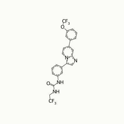 O=C(NCC(F)(F)F)Nc1cccc(-c2cnc3cc(-c4cccc(OC(F)(F)F)c4)ccn23)c1